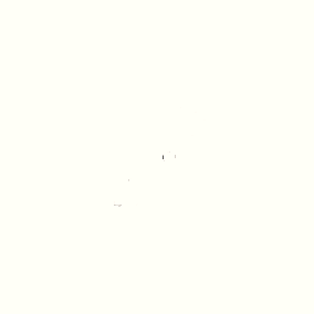 [c]1ccc(OCc2ccsc2)cc1